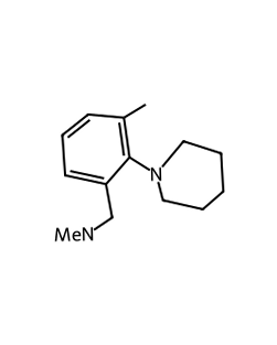 CNCc1cccc(C)c1N1CCCCC1